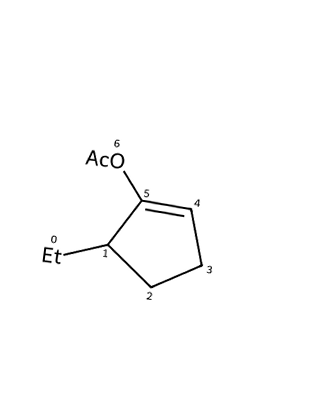 CCC1CCC=C1OC(C)=O